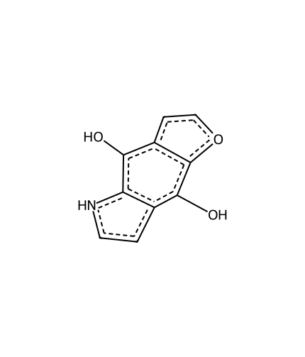 Oc1c2ccoc2c(O)c2cc[nH]c12